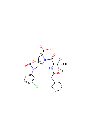 CC(C)(C)C(NC(=O)CC1CCCCC1)C(=O)N1C[C@@]2(C[C@H]1C(=O)O)CN(c1cccc(Cl)c1)C(=O)O2